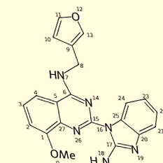 COc1cccc2c(NCc3ccoc3)nc(-n3c(N)nc4ccccc43)nc12